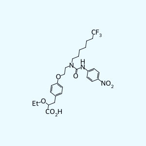 CCOC(Cc1ccc(OCCN(CCCCCCC(F)(F)F)C(=O)Nc2ccc([N+](=O)[O-])cc2)cc1)C(=O)O